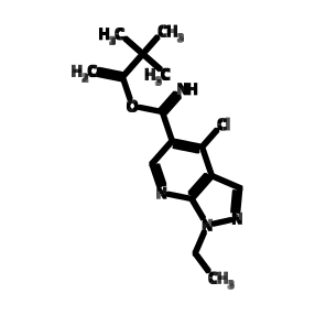 C=C(OC(=N)c1cnc2c(cnn2CC)c1Cl)C(C)(C)C